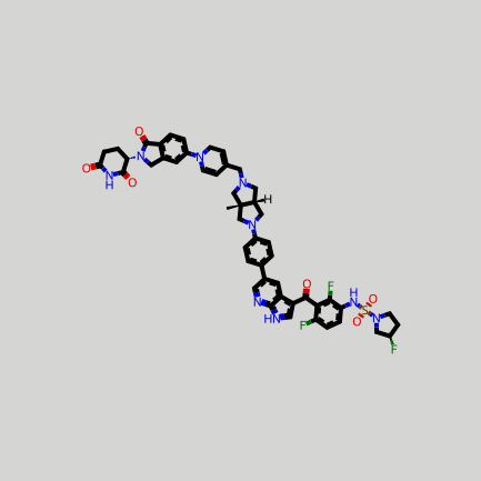 C[C@@]12CN(CC3=CCN(c4ccc5c(c4)CN([C@H]4CCC(=O)NC4=O)C5=O)C=C3)C[C@@H]1CN(c1ccc(-c3cnc4[nH]cc(C(=O)c5c(F)ccc(NS(=O)(=O)N6CC[C@@H](F)C6)c5F)c4c3)cc1)C2